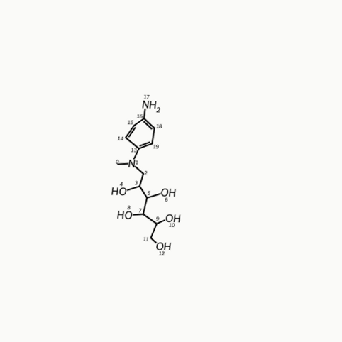 CN(CC(O)C(O)C(O)C(O)CO)c1ccc(N)cc1